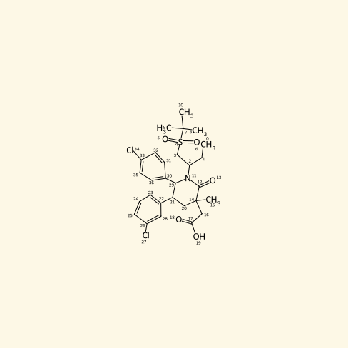 CCC(CS(=O)(=O)C(C)(C)C)N1C(=O)C(C)(CC(=O)O)CC(c2cccc(Cl)c2)C1c1ccc(Cl)cc1